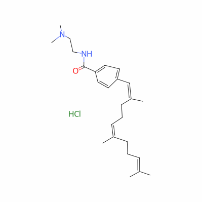 CC(C)=CCCC(C)=CCCC(C)=Cc1ccc(C(=O)NCCN(C)C)cc1.Cl